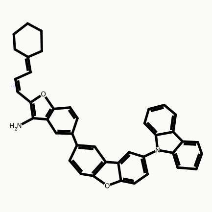 Nc1c(/C=C\C=C2CCCCC2)oc2ccc(-c3ccc4oc5ccc(-n6c7ccccc7c7ccccc76)cc5c4c3)cc12